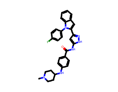 CN1CCC(Nc2ccc(C(=O)Nc3cc(-c4cc5ccccc5n4-c4ccc(F)cc4)n[nH]3)cc2)CC1